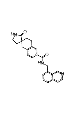 O=C(NCc1cccc2ccncc12)c1ccc2c(c1)CCC1(CCNC1=O)C2